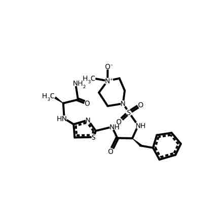 C[C@H](Nc1csc(NC(=O)[C@H](Cc2ccccc2)NS(=O)(=O)N2CC[N+](C)([O-])CC2)n1)C(N)=O